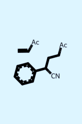 C=CC(C)=O.CC(=O)CCC(C#N)c1ccccc1